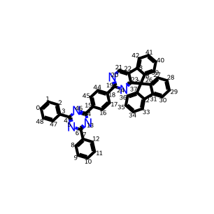 c1ccc(-c2nc(-c3ccccc3)nc(-c3ccc(-c4ncc5c(n4)C4(c6ccccc6-c6ccccc64)c4ccccc4-5)cc3)n2)cc1